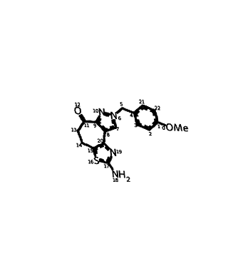 COc1ccc(Cn2cc3c(n2)C(=O)CCc2sc(N)nc2-3)cc1